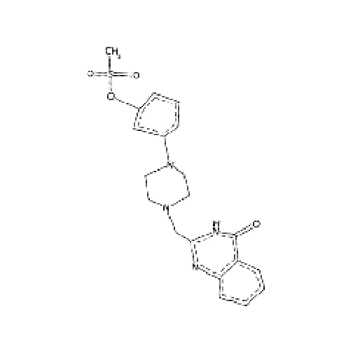 CS(=O)(=O)Oc1cccc(N2CCN(Cc3nc4ccccc4c(=O)[nH]3)CC2)c1